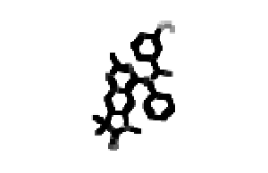 Cc1nc(N(c2ccccc2)C(C)c2cccc(C(F)(F)F)c2)c2cc3c(cc2n1)C(C)(C)C(=O)N3C